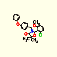 COc1cccc(Cl)c1C1OC(C)(C)C(=O)N1Cc1ccc(Oc2ccccc2)cc1